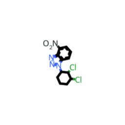 O=[N+]([O-])c1cccc2c1nnn2C1CCCC(Cl)C1Cl